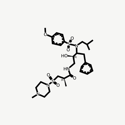 COc1ccc(S(=O)(=O)N(CC(C)C)C(Cc2ccccc2)[C@H](O)CNC(=O)[C@@H](C)CS(=O)(=O)N2CCN(C)CC2)cc1